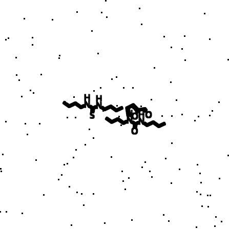 CCCCNC(=O)NCCCC.CCCCNC(=S)NCCCC.O=Cc1ccco1